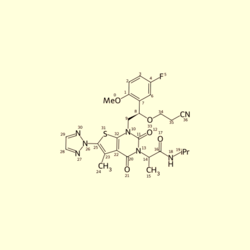 COc1ccc(F)cc1[C@H](Cn1c(=O)n(C(C)C(=O)NC(C)C)c(=O)c2c(C)c(-n3nccn3)sc21)OCCC#N